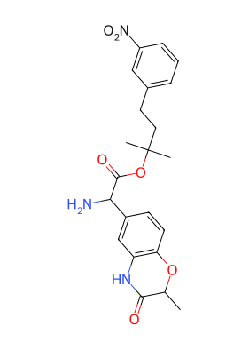 CC1Oc2ccc(C(N)C(=O)OC(C)(C)CCc3cccc([N+](=O)[O-])c3)cc2NC1=O